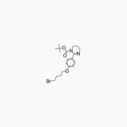 CC(C)(C)OC(=O)N1CCCN=C1c1ccc(OCCCCBr)cc1